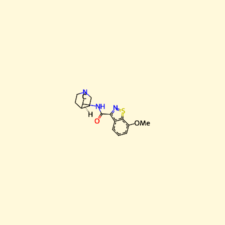 COc1cccc2c(C(=O)N[C@@H]3CN4CCC3CC4)nsc12